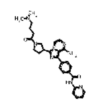 CN(C)CCCC(=O)N1CCC(c2nc(-c3ccc(C(=O)Nc4ccccn4)cc3)c3c(N)nccn23)C1